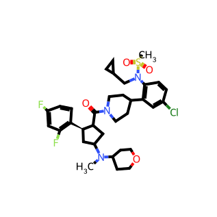 CN(C1CCOCC1)C1CC(C(=O)N2CCC(c3cc(Cl)ccc3N(CC3CC3)S(C)(=O)=O)CC2)[C@H](c2ccc(F)cc2F)C1